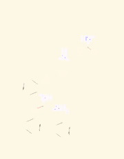 C[C@H](Oc1c(F)cccc1NC(=O)[C@@H](N)C(c1ccc(F)cc1)c1ccc(F)cc1)[C@@H]1CN[C@H](COC(=O)NCC(F)(F)F)CO1